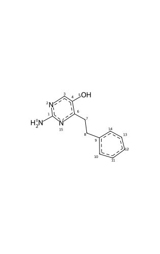 Nc1ncc(O)c(CCc2ccccc2)n1